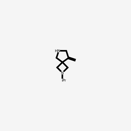 C=C1CNCC12CN(C(C)C)C2